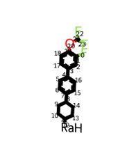 Fc1cc(-c2ccc(C3CC[CH]([RaH])CC3)cc2)ccc1OC(F)F